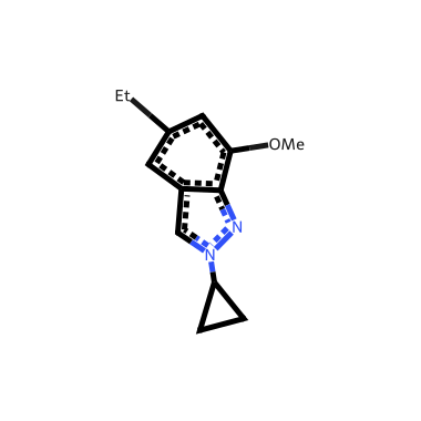 CCc1cc(OC)c2nn(C3CC3)cc2c1